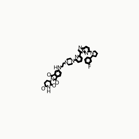 O=C1CCC(N2C(=O)c3ccc(NCCN4CCN(c5cccc(-c6cnc7ccc(N8CCCC8c8cccc(F)c8)nn67)n5)CC4)cc3C2=O)C(=O)N1